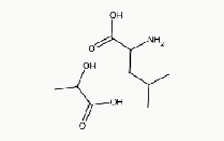 CC(C)CC(N)C(=O)O.CC(O)C(=O)O